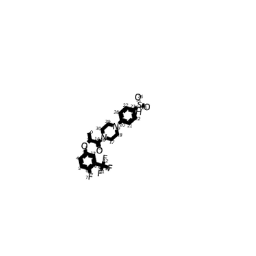 CC(Oc1ccc(F)c(C(F)(F)F)c1)C(=O)N1CCN(c2ccc([SH](=O)=O)cc2)CC1